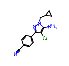 N#Cc1ccc(-c2nn(CC3CC3)c(N)c2Cl)cc1